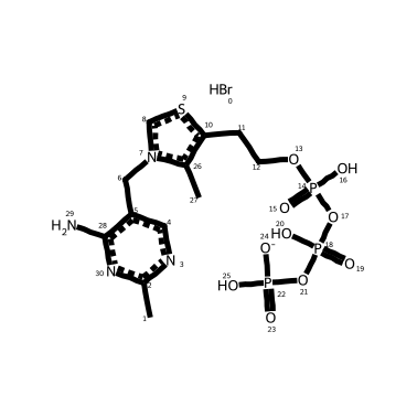 Br.Cc1ncc(C[n+]2csc(CCOP(=O)(O)OP(=O)(O)OP(=O)([O-])O)c2C)c(N)n1